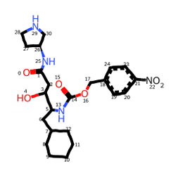 O=C(CC(O)C(CC1CCCCC1)NC(=O)OCc1ccc([N+](=O)[O-])cc1)N[C@H]1CCNC1